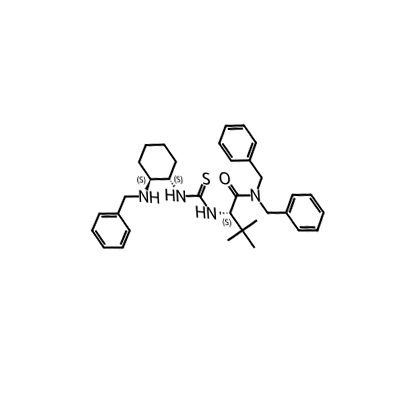 CC(C)(C)[C@H](NC(=S)N[C@H]1CCCC[C@@H]1NCc1ccccc1)C(=O)N(Cc1ccccc1)Cc1ccccc1